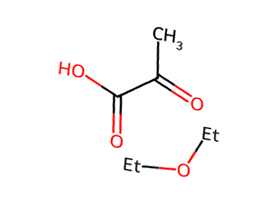 CC(=O)C(=O)O.CCOCC